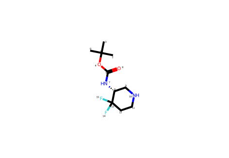 CC(C)(C)OC(=O)N[C@@H]1CNCCC1(F)F